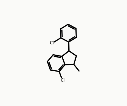 CC1CC(c2ccccc2Cl)c2cccc(Cl)c21